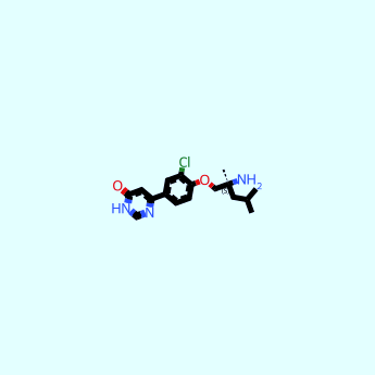 CC(C)C[C@](C)(N)COc1ccc(-c2cc(=O)[nH]cn2)cc1Cl